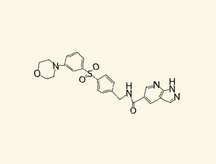 O=C(NCc1ccc(S(=O)(=O)c2cccc(N3CCOCC3)c2)cc1)c1cnc2[nH]ncc2c1